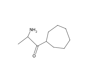 CC(N)C(=O)C1CCCCCC1